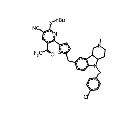 CCCCSc1nc(-c2ccc(Cc3ccc4c(c3)C3CN(C)CCC3N4Sc3ccc(Cl)cc3)s2)c(C(=O)C(F)(F)F)cc1C#N